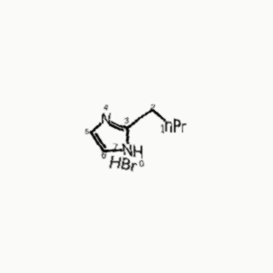 Br.CCCCc1ncc[nH]1